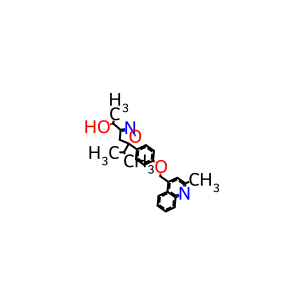 Cc1cc(COc2ccc(C3(C(C)C)CC(C(C)O)=NO3)cc2)c2ccccc2n1